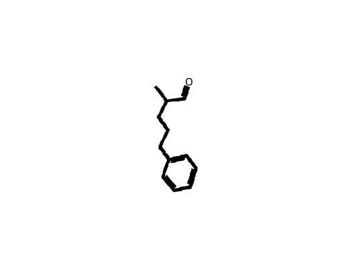 CC(C=O)CCCc1ccccc1